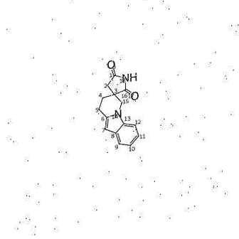 O=C1CC2(CCc3cc4ccccc4n3C2)C(=O)N1